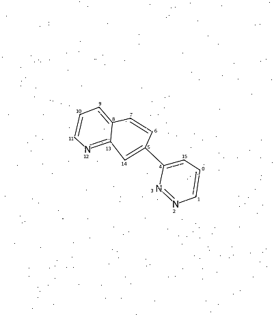 c1cnnc(-c2ccc3cccnc3c2)c1